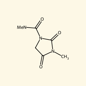 CNC(=O)N1CC(=O)N(C)C1=O